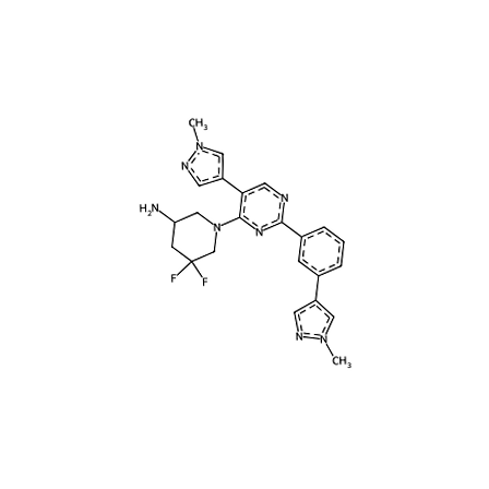 Cn1cc(-c2cccc(-c3ncc(-c4cnn(C)c4)c(N4CC(N)CC(F)(F)C4)n3)c2)cn1